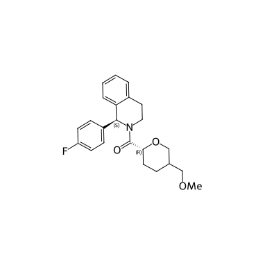 COCC1CC[C@H](C(=O)N2CCc3ccccc3[C@@H]2c2ccc(F)cc2)OC1